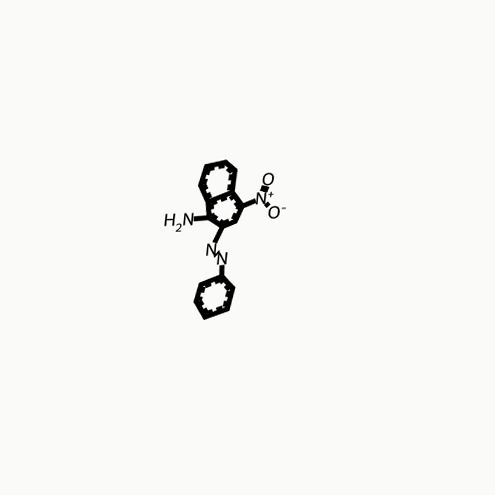 Nc1c(N=Nc2ccccc2)cc([N+](=O)[O-])c2ccccc12